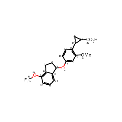 COc1cc(OC2CCc3c(OC(F)(F)F)cccc32)ccc1C1CC1C(=O)O